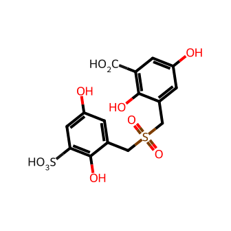 O=C(O)c1cc(O)cc(CS(=O)(=O)Cc2cc(O)cc(S(=O)(=O)O)c2O)c1O